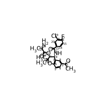 CC(=O)c1ccc2c(c1)[C@H](NC(=O)c1ccc(F)c(Cl)c1)[C@H](OC(=O)[C@H](C)N)C(C)(C)O2